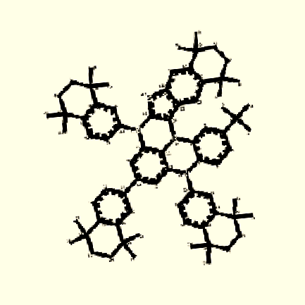 CC(C)(C)c1ccc2c(c1)B1c3c(cc(-c4ccc5c(c4)C(C)(C)CCC5(C)C)cc3N(c3ccc4c(c3)C(C)(C)CCC4(C)C)c3sc4cc5c(cc4c31)C(C)(C)CCC5(C)C)N2c1ccc2c(c1)C(C)(C)CCC2(C)C